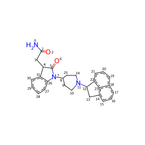 NC(=O)CC1C(=O)N(C2CCN(C3Cc4cccc5cccc3c45)CC2)c2ccccc21